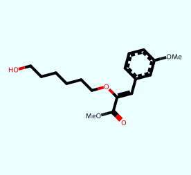 COC(=O)C(=Cc1cccc(OC)c1)OCCCCCCO